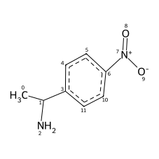 CC(N)c1ccc([N+](=O)[O-])cc1